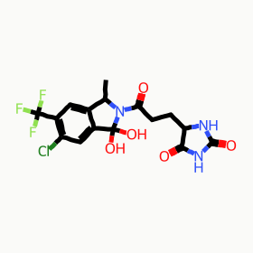 CC1c2cc(C(F)(F)F)c(Cl)cc2C(O)(O)N1C(=O)CCC1NC(=O)NC1=O